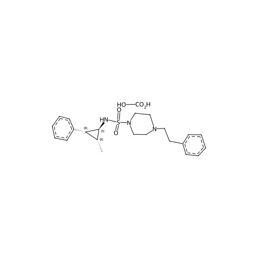 C[C@H]1[C@H](NS(=O)(=O)N2CCN(CCc3ccccc3)CC2)[C@H]1c1ccccc1.O=C(O)O